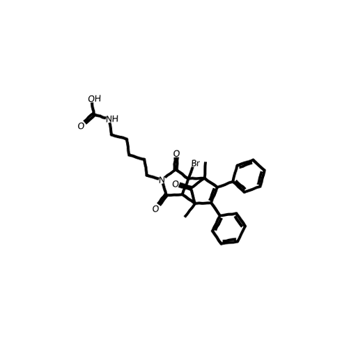 CC12C(=O)C(C)(C(c3ccccc3)=C1c1ccccc1)C1(Br)C(=O)N(CCCCCNC(=O)O)C(=O)C21